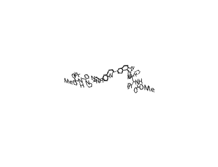 COC(=O)N[C@H](C(=O)N1CCC[C@H]1c1ncc(-c2ccc3nc(-c4ccc5c(ccc6nc([C@@H]7CCCN7C(=O)[C@@H](NC(=O)OC)C(C)C)[nH]c65)c4)ccc3c2)[nH]1)C(C)C